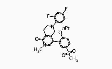 CCCOc1ccc(S(C)(=O)=O)cc1-c1cn(C)c(=O)c2c1CN(c1ccc(F)cc1F)CC2